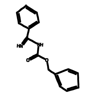 N=C(NC(=O)OCc1ccccc1)c1cc[c]cc1